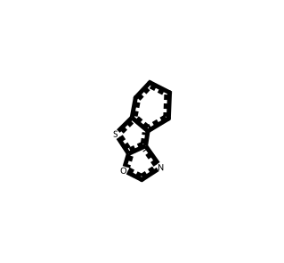 c1ccc2c(c1)sc1ocnc12